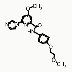 COCCOc1ccc(NC(=O)c2cc(OC)cc(-n3ccnc3)n2)cc1